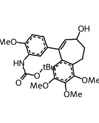 COc1ccc(C2=CC(O)CCc3c2cc(OC)c(OC)c3OC)cc1NC(=O)OC(C)(C)C